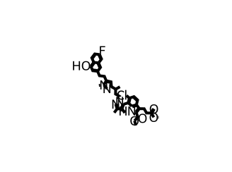 COC(=O)CCc1c(C(=O)OC)[nH]c2c(-c3c(C)c(C)nn3CCC(C)c3cc(CCc4cc(O)c5ccc(F)cc5c4)n(C)n3)c(Cl)ccc12